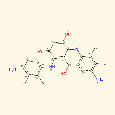 Cc1c(N)ccc(N=C2C(O)=CC(=O)C(Nc3ccc(N)c(C)c3C)=C2CO)c1C